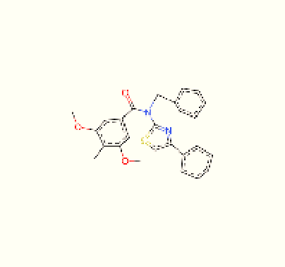 COc1cc(C(=O)N(Cc2ccccc2)c2nc(-c3ccccc3)cs2)cc(OC)c1C